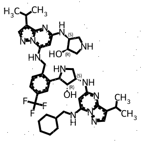 CC(C)c1cnn2c(NCc3ccc(C(F)(F)F)cc3C3NC[C@H](Nc4cc(NCC5CCCCC5)n5ncc(C(C)C)c5n4)[C@@H]3O)cc(N[C@H]3CNC[C@H]3O)nc12